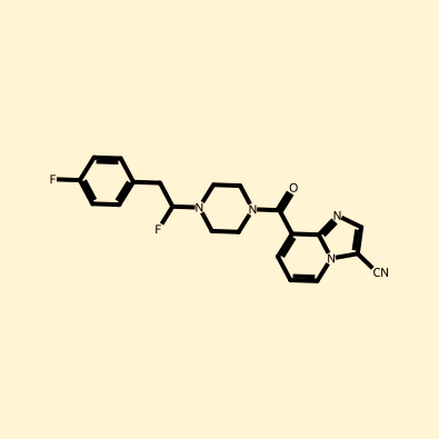 N#Cc1cnc2c(C(=O)N3CCN(C(F)Cc4ccc(F)cc4)CC3)cccn12